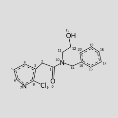 O=C(Cc1cccnc1Cl)N(CCO)Cc1ccccc1